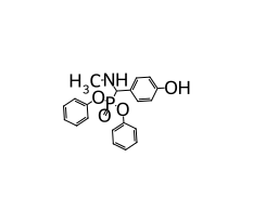 CNC(c1ccc(O)cc1)P(=O)(Oc1ccccc1)Oc1ccccc1